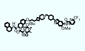 COc1cc2nn(C3CCC(CN4CCC5(CC4)CC(CCCOc4ccc6c(c4)CN(C(=O)[C@@H](NC(=O)[C@H](C)N(C)C(=O)OC(C)(C)C)C(C)(C)C)[C@H](C(=O)N[C@@H]4CCCc7ccccc74)C6)C5)CC3)cc2cc1NC(=O)c1cccc(C(F)(F)F)n1